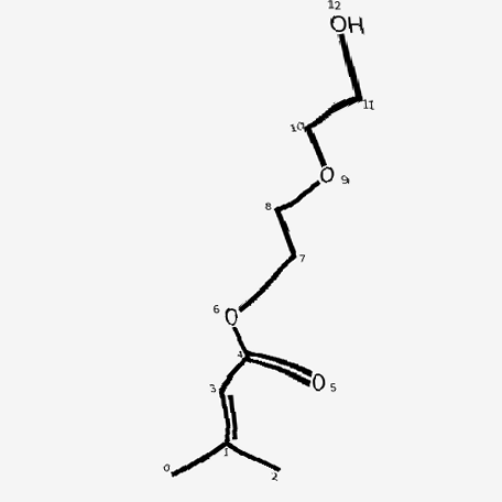 CC(C)=CC(=O)OCCOCCO